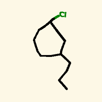 CCCC1CCCC(Cl)C1